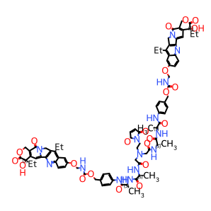 CCc1c2c(nc3ccc(OCNC(=O)OCc4ccc(NC(=O)[C@H](C)NC(=O)[C@H](C)NC(=O)CN(CCN5C(=O)C=CC5=O)CC(=O)N[C@@H](C)C(=O)N[C@@H](C)C(=O)Nc5ccc(COC(=O)NCOc6ccc7nc8c(c(CC)c7c6)Cn6c-8cc7c(c6=O)COC(=O)[C@]7(O)CC)cc5)cc4)cc13)-c1cc3c(c(=O)n1C2)COC(=O)[C@]3(O)CC